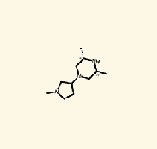 C[C@H]1CN(C2CCN(C)C2)C[C@H](C)N1